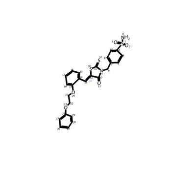 NS(=O)(=O)c1ccc(CN2C(=O)/C(=C/c3ccccc3OCCOc3ccccc3)SC2=S)cc1